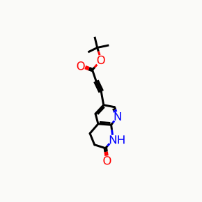 CC(C)(C)OC(=O)C#Cc1cnc2c(c1)CCC(=O)N2